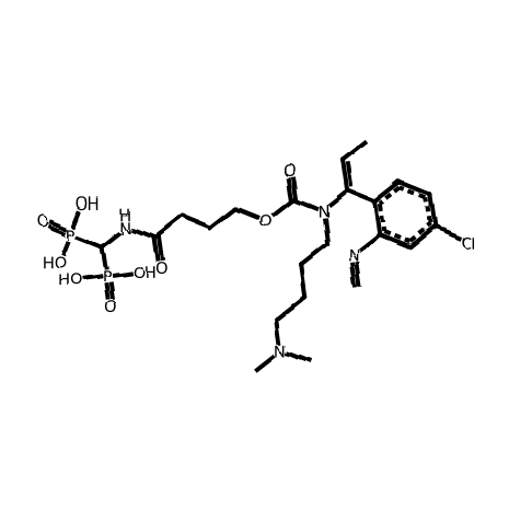 C=Nc1cc(Cl)ccc1/C(=C\C)N(CCCCN(C)C)C(=O)OCCCC(=O)NC(P(=O)(O)O)P(=O)(O)O